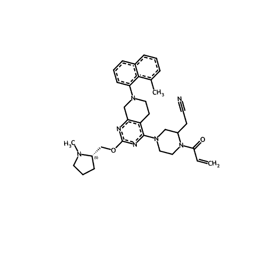 C=CC(=O)N1CCN(c2nc(OC[C@@H]3CCCN3C)nc3c2CCN(c2cccc4cccc(C)c24)C3)CC1CC#N